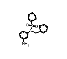 Nc1cccc(N(Cc2ccccc2)S(=O)(=O)c2ccccc2)c1